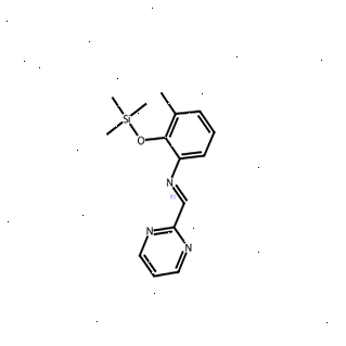 Cc1cccc(/N=C/c2ncccn2)c1O[Si](C)(C)C